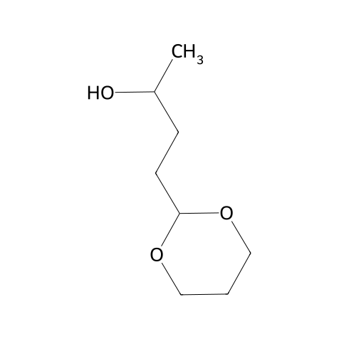 CC(O)CCC1OCCCO1